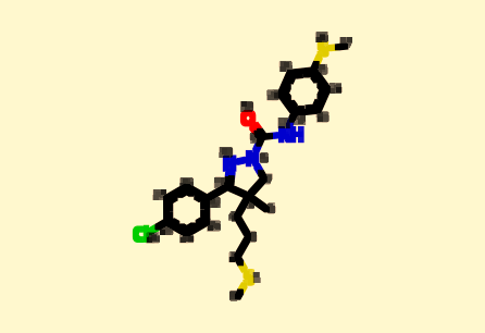 CSCCCC1(C)CN(C(=O)Nc2ccc(SC)cc2)N=C1c1ccc(Cl)cc1